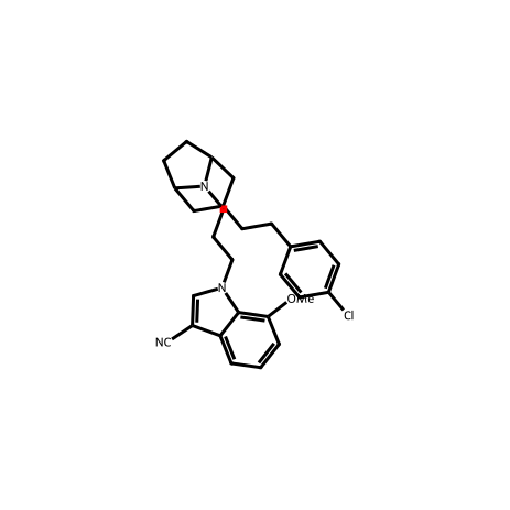 COc1cccc2c(C#N)cn(CCCN3C4CCC3CC(CCc3ccc(Cl)cc3)C4)c12